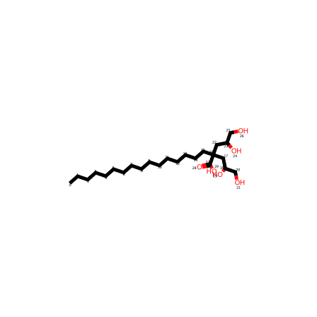 CCCCCCCCCCCCCCCCC(CC(O)CO)(CC(O)CO)C(=O)O